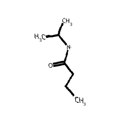 CCCC(=O)[N]C(C)C